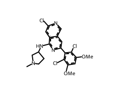 COc1cc(OC)c(Cl)c(-c2cc3cnc(Cl)cc3c(NC3CCN(C)C3)n2)c1Cl